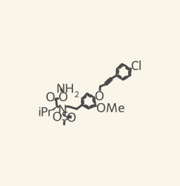 COc1cc(CCN([C@H](C(=O)ON)C(C)C)S(C)(=O)=O)ccc1OCC#Cc1ccc(Cl)cc1